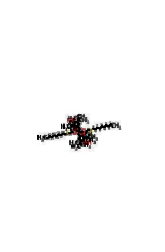 CCCCCCCCCCSCCOC(=O)C(Cc1cc(C(C)(C)C)c(O)c(C(C)(C)C)c1)(Cc1cc(C(C)(C)C)c(O)c(C(C)(C)C)c1)C(=O)OCCSCCCCCCCCCC